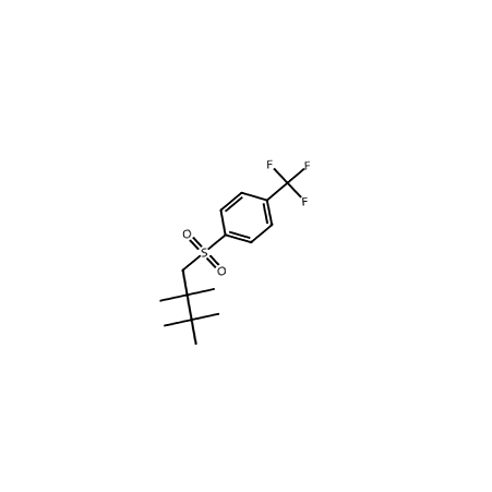 CC(C)(C)C(C)(C)CS(=O)(=O)c1ccc(C(F)(F)F)cc1